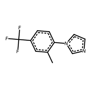 Cc1cc(C(F)(F)F)ccc1-n1ccnc1